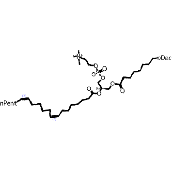 CCCCC/C=C\CCCC/C=C\CCCCCCC(=O)O[C@H](COC(=O)CCCCCCCCCCCCCCCCC)COP(=O)([O-])OCC[N+](C)(C)C